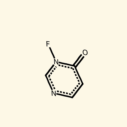 O=c1ccncn1F